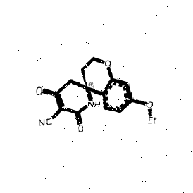 CCOc1ccc2c(c1)OCC[C@@]21CC(Cl)=C(C#N)C(=O)N1